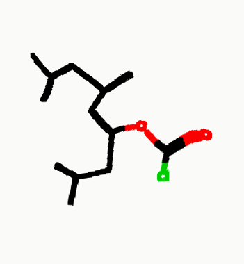 CC(C)CC(C)CC(CC(C)C)OC(=O)Cl